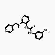 Nc1cccc(NC(=O)Nc2cccnc2NCc2ccncc2)c1